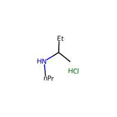 CCCNC(C)CC.Cl